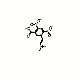 CN(C)C=Cc1cc(C(=O)O)c([N+](=O)[O-])cc1[N+](=O)[O-]